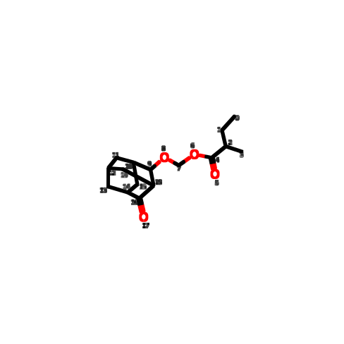 CCC(C)C(=O)OCOC1C2CC3CC(C2)C(=O)C1C3